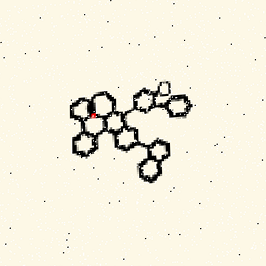 C1#Cc2c(c(-c3ccc4oc5ccccc5c4c3)c3cc(-c4cccc5ccccc45)ccc3c2-c2ccccc2C2=CC=CCC2)C=CC1